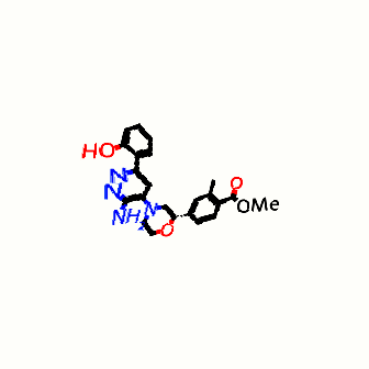 COC(=O)c1ccc([C@H]2CN(c3cc(-c4ccccc4O)nnc3N)CCO2)cc1C